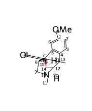 COc1ccc2c(c1)[C@]13CCN(C)[C@H](C2)[C@H]1CCC(=O)C3